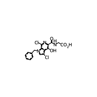 O=C(O)CNC(=O)c1nc(Cl)c2c(c(Cl)cn2Cc2ccccc2)c1O